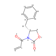 C=CC(=O)N1C(=O)OC[C@H]1Cc1ccccc1